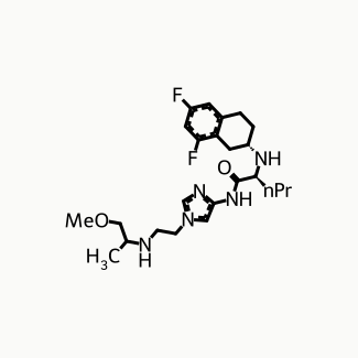 CCC[C@H](N[C@H]1CCc2cc(F)cc(F)c2C1)C(=O)Nc1cn(CCNC(C)COC)cn1